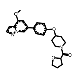 COc1cc(-c2ccc(OC3CCN(C(=O)C4CCCO4)CC3)cc2)cn2nccc12